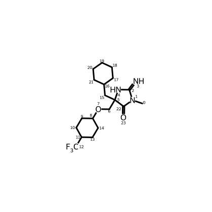 CN1C(=N)NC(COC2CCC(C(F)(F)F)CC2)(CC2CCCCC2)C1=O